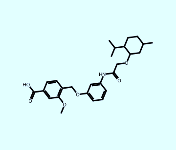 COc1cc(C(=O)O)ccc1COc1cccc(NC(=O)COC2CC(C)CCC2C(C)C)c1